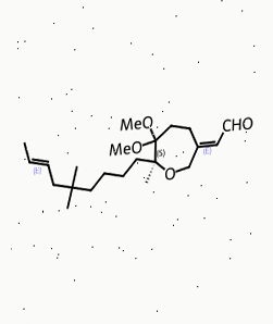 C/C=C/CC(C)(C)CCCC[C@]1(C)OC/C(=C/C=O)CCC1(OC)OC